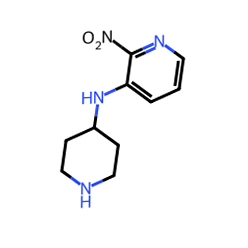 O=[N+]([O-])c1ncccc1NC1CCNCC1